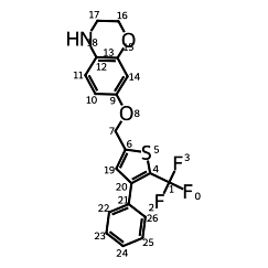 FC(F)(F)c1sc(COc2ccc3c(c2)OCCN3)cc1-c1ccccc1